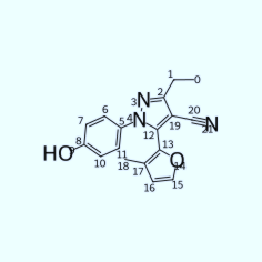 CCc1nn(-c2ccc(O)cc2)c(-c2occc2C)c1C#N